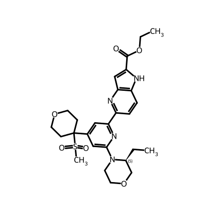 CCOC(=O)c1cc2nc(-c3cc(C4(S(C)(=O)=O)CCOCC4)cc(N4CCOC[C@@H]4CC)n3)ccc2[nH]1